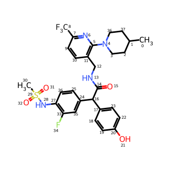 CC1CCN(c2nc(C(F)(F)F)ccc2CNC(=O)C(c2ccc(O)cc2)c2ccc(NS(C)(=O)=O)c(F)c2)CC1